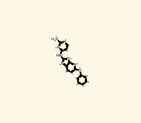 Nc1nccc(Nc2nc3ccc(Oc4ccccc4)nc3s2)n1